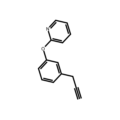 C#CCc1cccc(Oc2ccccn2)c1